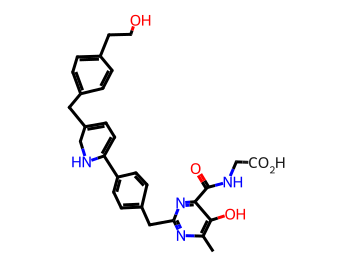 Cc1nc(Cc2ccc(C3=CC=C(Cc4ccc(CCO)cc4)CN3)cc2)nc(C(=O)NCC(=O)O)c1O